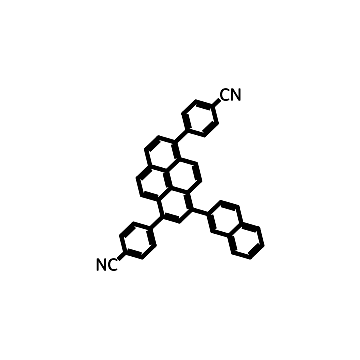 N#Cc1ccc(-c2ccc3ccc4c(-c5ccc(C#N)cc5)cc(-c5ccc6ccccc6c5)c5ccc2c3c45)cc1